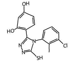 Cc1c(Cl)cccc1-n1c(S)nnc1-c1ccc(O)cc1O